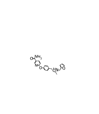 CC(CCc1ccc(Oc2ccc(C(N)=O)cn2)cc1)NCc1ccco1